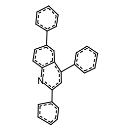 c1ccc(-c2ccc3nc(-c4ccccc4)cc(-c4ccccc4)c3c2)cc1